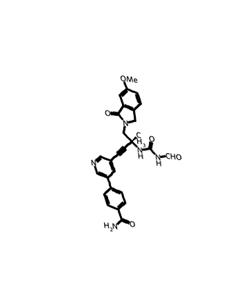 COc1ccc2c(c1)C(=O)N(C[C@@](C)(C#Cc1cncc(-c3ccc(C(N)=O)cc3)c1)NC(=O)NC=O)C2